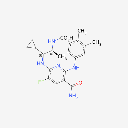 Cc1ccc(Nc2nc(N[C@@H](C3CC3)[C@H](C)NC(=O)O)c(F)cc2C(N)=O)cc1C